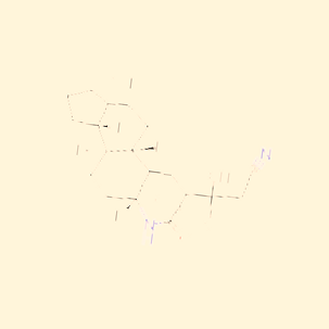 CC(C)(CC#N)C1C[C@@]2(C)[C@@H](CC[C@H]3[C@@H]4CCC[C@@]4(C)CC[C@@H]32)NC1=O